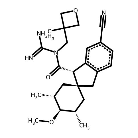 CO[C@H]1[C@H](C)C[C@@]2(Cc3ccc(C#N)cc3[C@H]2C(=O)N(CC2(C)COC2)C(=N)N)C[C@@H]1C